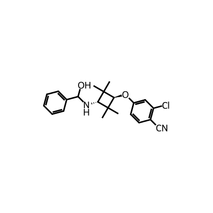 CC1(C)[C@H](NC(O)c2ccccc2)C(C)(C)[C@H]1Oc1ccc(C#N)c(Cl)c1